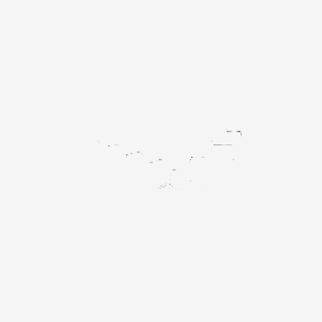 CCCCC1(C(O)CC[C@H]2[C@H](O)CC(=O)[C@@H]2CCCCCCC(=O)O)CCC1